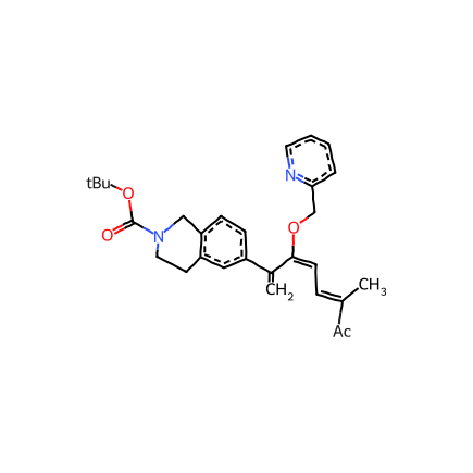 C=C(/C(=C\C=C(/C)C(C)=O)OCc1ccccn1)c1ccc2c(c1)CCN(C(=O)OC(C)(C)C)C2